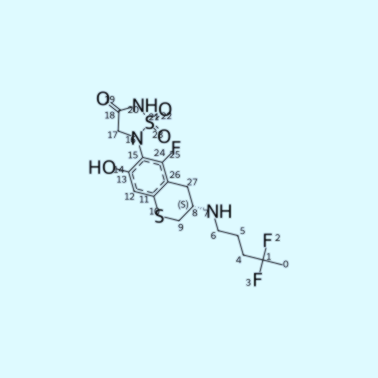 CC(F)(F)CCCN[C@@H]1CSc2cc(O)c(N3CC(=O)NS3(=O)=O)c(F)c2C1